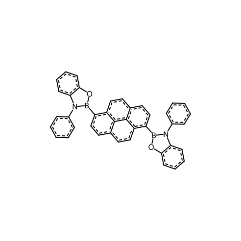 c1ccc(N2B(c3ccc4ccc5c(B6Oc7ccccc7N6c6ccccc6)ccc6ccc3c4c65)Oc3ccccc32)cc1